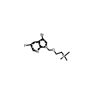 C[Si](C)(C)CCOCn1cc(Br)c2cc(F)cnc21